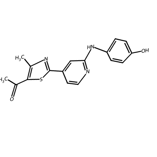 CC(=O)c1sc(-c2ccnc(Nc3ccc(O)cc3)c2)nc1C